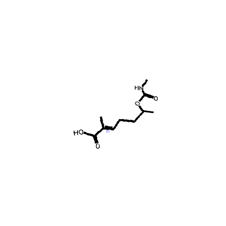 CNC(=O)OC(C)CC/C=C(\C)C(=O)O